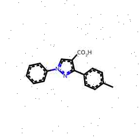 Cc1ccc(-c2nn(-c3ccccc3)cc2C(=O)O)cc1